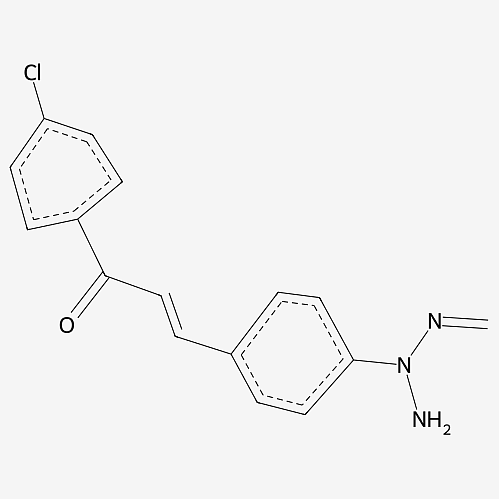 C=NN(N)c1ccc(/C=C/C(=O)c2ccc(Cl)cc2)cc1